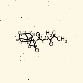 C=C(C)C(=O)OCC(=O)N1C(=O)CC12C1CC3CC(C1)CC2C3